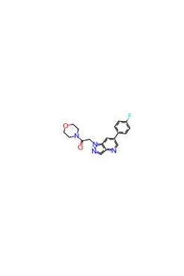 O=C(Cn1ncc2ncc(-c3ccc(F)cc3)cc21)N1CCOCC1